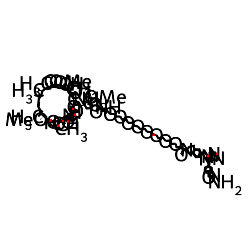 CO[C@H]1C[C@@H]2CC[C@@H](C)[C@@](O)(O2)C(=O)C(=O)N2CCCC[C@H]2C(=O)O[C@H]([C@H](N)C[C@@H]2CC[C@@H](OC(=O)NCCOCCOCCOCCOCCOCCOCCOCCOCCC(=O)N3CCc4cc(Cn5nc(-c6ccc7oc(N)nc7c6)c6cncnc65)ccc4C3)[C@H](OC)C2)CC(=O)[C@H](C)/C=C(\C)[C@@H](O)[C@@H](OC)C(=O)[C@H](C)C[C@H](C)/C=C/C=C/C=C/1C